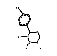 CC(C)N1C(c2ccc(Cl)cc2)CC[C@H](C)[S+]1[O-]